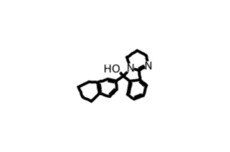 OC1(c2ccc3c(c2)CCCC3)c2ccccc2C2=NCCCN21